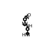 Cn1c(C=O)cc2ccc(-c3nccc(Nc4ccc(-c5cn[nH]c5)cc4)n3)cc21